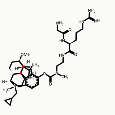 CO[C@]12CC[C@@]3(C[C@@H]1C(C)(C)O)[C@H]1Cc4ccc(OC(=O)N(C)CCNC(=O)[C@H](CCCNC(=N)N)NC(=O)CN)c5c4[C@@]3(CC[N+]1(C)CC1CC1)[C@H]2O5